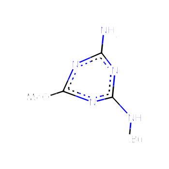 COc1nc(N)nc(NC(C)(C)C)n1